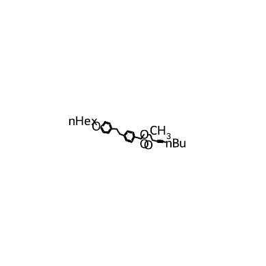 CCCCC#CC(=O)C(C)OC(=O)c1ccc(CCc2ccc(OCCCCCC)cc2)cc1